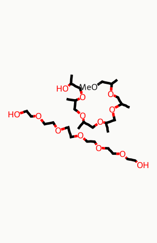 COCC(C)OCC(C)OCC(C)OCC(C)OCC(C)OCC(C)O.OCCOCCOCCOCCOCCOCCO